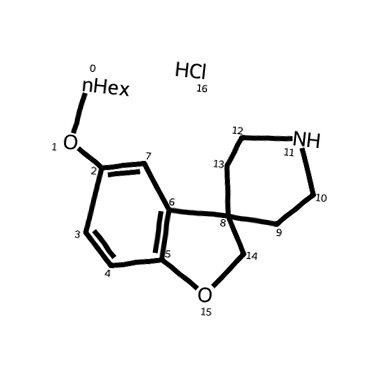 CCCCCCOc1ccc2c(c1)C1(CCNCC1)CO2.Cl